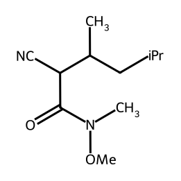 CON(C)C(=O)C(C#N)C(C)CC(C)C